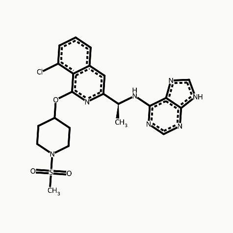 C[C@H](Nc1ncnc2[nH]cnc12)c1cc2cccc(Cl)c2c(OC2CCN(S(C)(=O)=O)CC2)n1